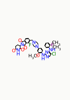 COc1cc(N2CCN(Cc3ccc4c(c3F)C(=O)N(C3CCC(=O)NC3=O)C4=O)CC2)ccc1Nc1ncc(Cl)c(Nc2ccccc2P(C)C)n1